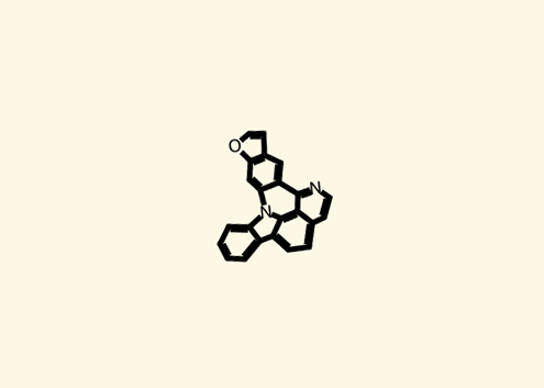 c1ccc2c(c1)c1ccc3ccnc4c5cc6ccoc6cc5n2c1c34